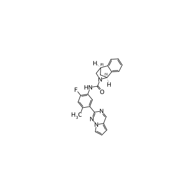 Cc1cc(F)c(NC(=O)N2C[C@@H]3C[C@H]2c2ccccc23)cc1-c1ncc2cccn2n1